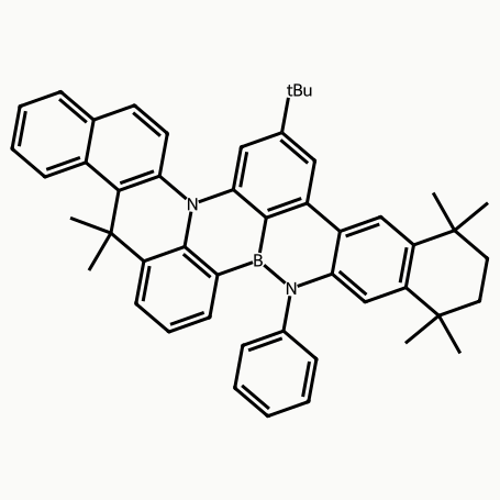 CC(C)(C)c1cc2c3c(c1)N1c4ccc5ccccc5c4C(C)(C)c4cccc(c41)B3N(c1ccccc1)c1cc3c(cc1-2)C(C)(C)CCC3(C)C